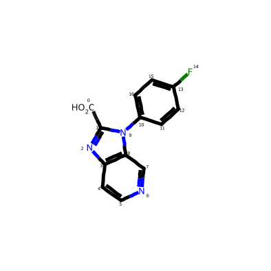 O=C(O)c1nc2ccncc2n1-c1ccc(F)cc1